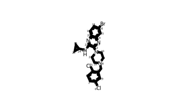 Clc1ccc(Cl)c(CN2CCN(c3nc4cc(Br)ccc4nc3NC3CC3)CC2)c1